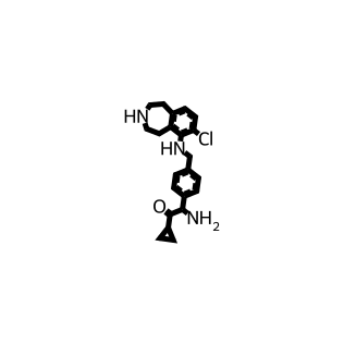 NC(C(=O)C1CC1)c1ccc(CNc2c(Cl)ccc3c2CCNCC3)cc1